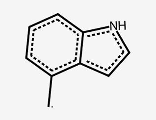 [CH2]c1cccc2[nH]ccc12